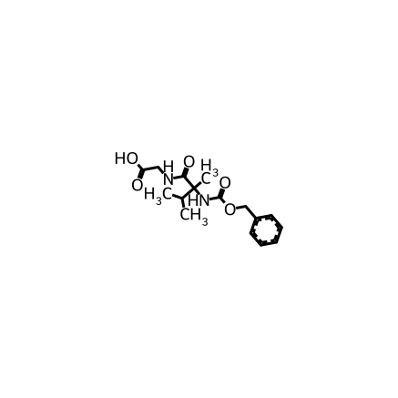 CC(C)C(C)(NC(=O)OCc1ccccc1)C(=O)NCC(=O)O